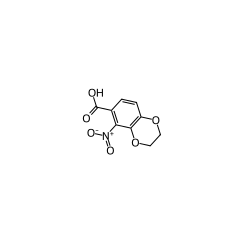 O=C(O)c1ccc2c(c1[N+](=O)[O-])OCCO2